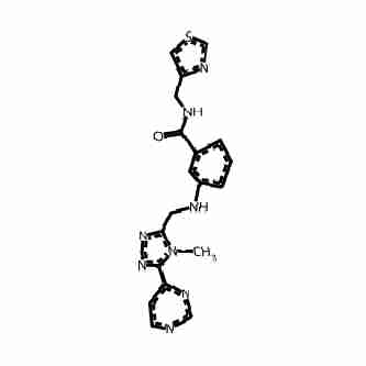 Cn1c(CNc2cccc(C(=O)NCc3cscn3)c2)nnc1-c1ccncn1